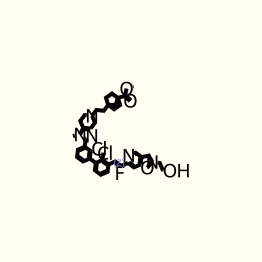 COC(=O)C12CCC(CCN3CCc4c(nc(-c5cccc(-c6cccc(/C=C(\F)c7cc8c(cn7)CN(CCO)O8)c6Cl)c5Cl)n4C)C3)(CC1)C2